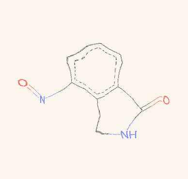 O=Nc1cccc2c1CNC2=O